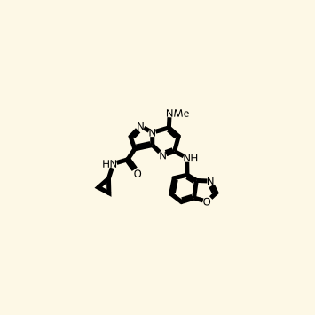 CNc1cc(Nc2cccc3ocnc23)nc2c(C(=O)NC3CC3)cnn12